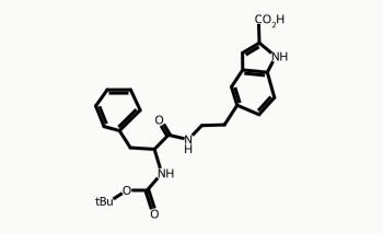 CC(C)(C)OC(=O)NC(Cc1ccccc1)C(=O)NCCc1ccc2[nH]c(C(=O)O)cc2c1